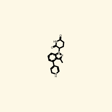 Cc1nn(C2CCC(=O)NC2=O)c2cccc(C3=CCNC=C3)c12